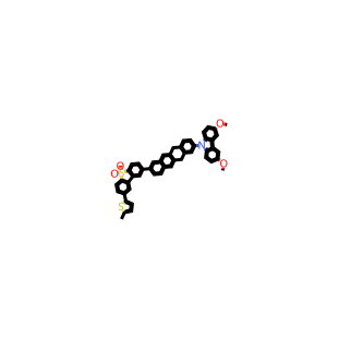 COc1ccc2c(c1)c1cc(OC)ccc1n2-c1ccc2c(c1)Cc1cc3ccc(-c4ccc5c(c4)-c4cc(-c6ccc(C)s6)ccc4S5(=O)=O)cc3cc1C2